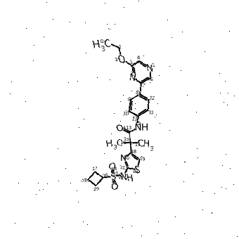 CCOc1cncc(-c2ccc(NC(=O)C(C)(C)c3csc(NS(=O)(=O)C4CCC4)n3)cc2)n1